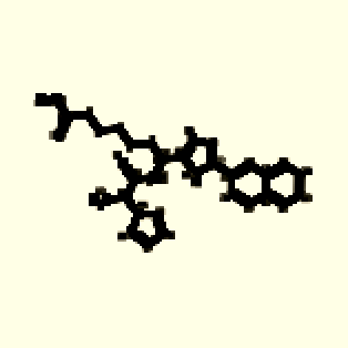 CNC(=O)CCCCC[C@H](NC(=O)C(C)n1cccn1)c1ncc(-c2ccc3ccccc3c2)[nH]1